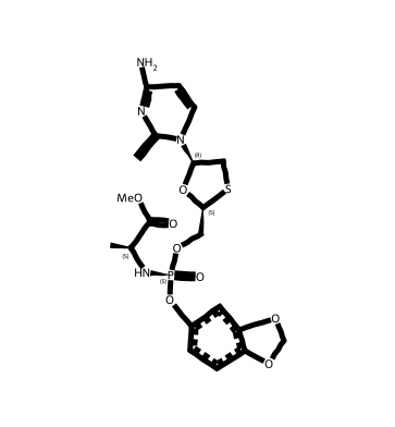 C=C1N=C(N)C=CN1[C@H]1CS[C@@H](CO[P@@](=O)(N[C@@H](C)C(=O)OC)Oc2ccc3c(c2)OCO3)O1